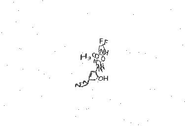 CO[C@H]1C2CC(F)(F)C(C[C@@H]1Oc1cnc(-c3ccc(-n4ccnc4)cc3O)nn1)N2